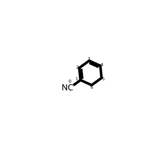 N#CC1=CC=CCC1